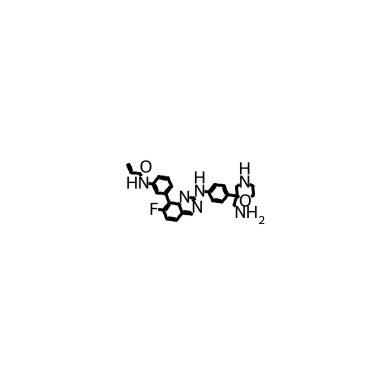 C=CC(=O)Nc1cccc(-c2c(F)ccc3cnc(Nc4ccc(C5(CN)CNCCO5)cc4)nc23)c1